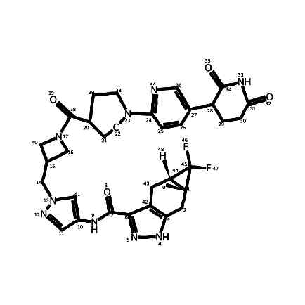 C[C@@]12Cc3[nH]nc(C(=O)Nc4cnn(CC5CN(C(=O)C6CCN(c7ccc(C8CCC(=O)NC8=O)cn7)CC6)C5)c4)c3C[C@@H]1C2(F)F